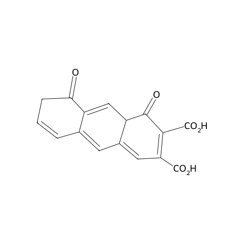 O=C(O)C1=C(C(=O)O)C(=O)C2C=C3C(=O)CC=CC3=CC2=C1